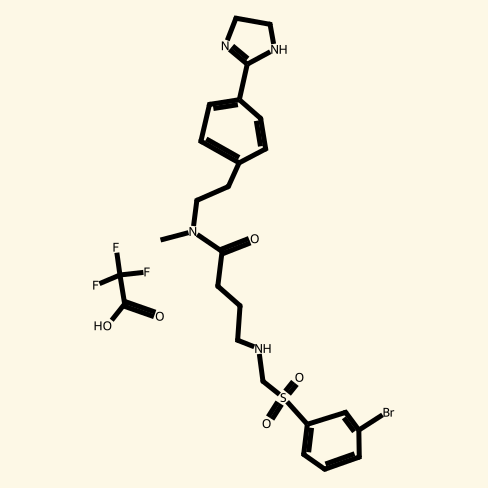 CN(CCc1ccc(C2=NCCN2)cc1)C(=O)CCCNCS(=O)(=O)c1cccc(Br)c1.O=C(O)C(F)(F)F